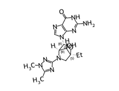 CC[C@@]12CN(c3nc(C)n(C)n3)[C@@H]([C@H](n3cnc4c(=O)[nH]c(N)nc43)O1)[C@@H]2O